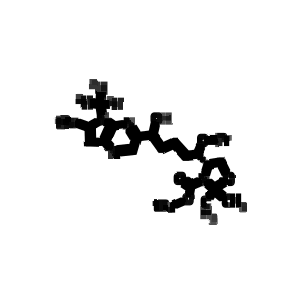 [2H]C([2H])([2H])n1c(C(C)(C)C)cc2ncc(C(O)CCCC(OC(C)C)[C@@H]3COC(C)(C)N3C(=O)OC(C)(C)C)nc21